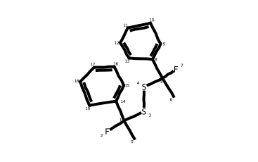 CC(F)(SSC(C)(F)c1ccccc1)c1ccccc1